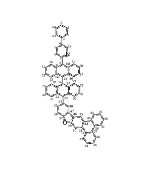 c1ccc(-c2ccc(-c3c4ccccc4c(-c4c5ccccc5c(-c5ccc6oc7cc8c9ccccc9c9ccccc9c8cc7c6c5)c5ccccc45)c4ccccc34)nc2)cc1